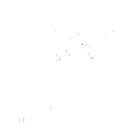 COC1CC2CCC(C1)N2c1nc(C)nc2cc(CCC(C)(F)F)nn12